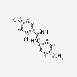 Cc1ccc(NC(=N)c2ccc(Cl)cc2Cl)cc1